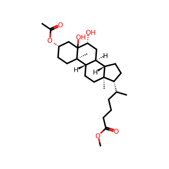 COC(=O)CCCC(C)[C@H]1CC[C@H]2[C@@H]3C[C@@H](O)C4(O)C[C@@H](OC(C)=O)CC[C@]4(C)[C@H]3CC[C@]12C